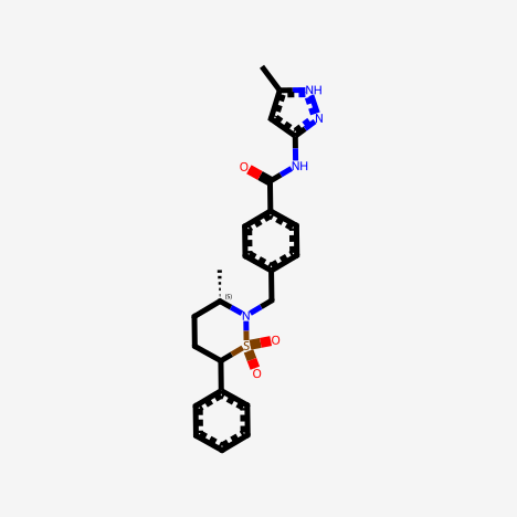 Cc1cc(NC(=O)c2ccc(CN3[C@@H](C)CCC(c4ccccc4)S3(=O)=O)cc2)n[nH]1